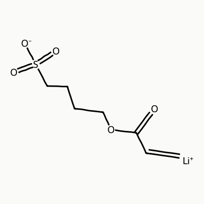 C=CC(=O)OCCCCS(=O)(=O)[O-].[Li+]